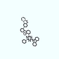 C1=CC2Sc3ccc(-c4cccc5oc6c(-c7nc(-c8ccccc8)nc(-n8c9ccccc9c9ccccc98)n7)cccc6c45)cc3C2C=C1